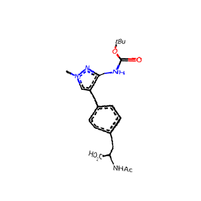 CC(=O)NC(Cc1ccc(-c2cn(C)nc2NC(=O)OC(C)(C)C)cc1)C(=O)O